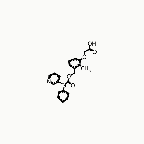 Cc1c(COC(=O)N(c2ccccc2)c2cccnc2)cccc1OCC(=O)O